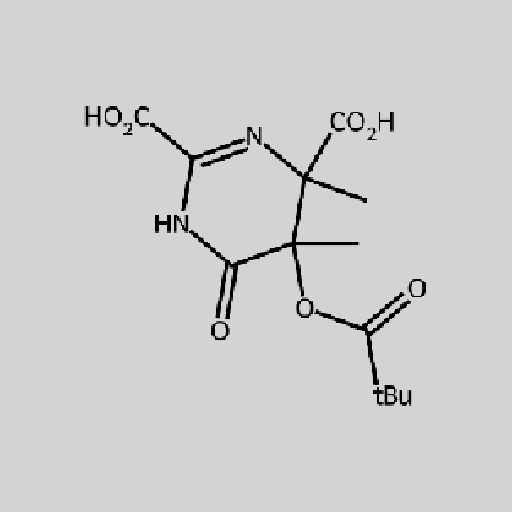 CC(C)(C)C(=O)OC1(C)C(=O)NC(C(=O)O)=NC1(C)C(=O)O